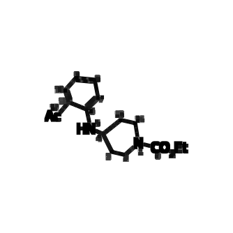 CCOC(=O)N1CCC(Nc2ccccc2C(C)=O)CC1